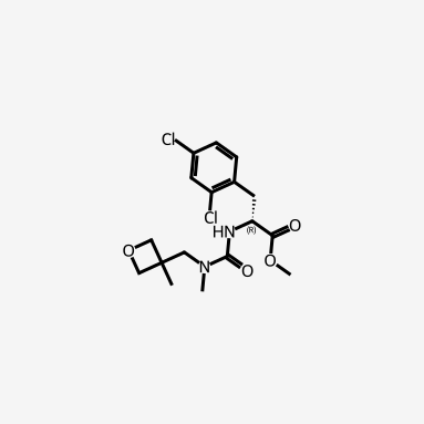 COC(=O)[C@@H](Cc1ccc(Cl)cc1Cl)NC(=O)N(C)CC1(C)COC1